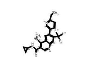 CCc1ccc(-c2cc3c(NC)c(C(=O)NC4CC4)cnc3cc2C(F)(F)F)cn1